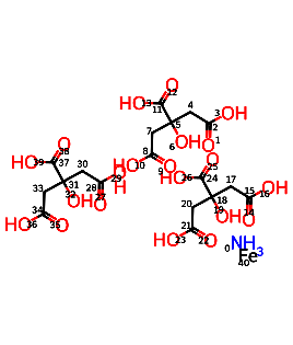 N.O=C(O)CC(O)(CC(=O)O)C(=O)O.O=C(O)CC(O)(CC(=O)O)C(=O)O.O=C(O)CC(O)(CC(=O)O)C(=O)O.[Fe]